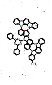 Cc1ccc2c(c1)c1ccc3c4ccccc4n(-c4ccc5c(c4)c4cc(-n6c7ccccc7c7ccc8c9ccccc9n(-c9ccccc9)c8c76)ccc4n5-c4nc(-c5ccccc5)nc(-c5ccccc5)n4)c3c1n2-c1ccccc1